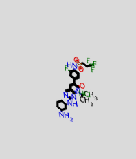 CC(C)n1c(=O)c(-c2ccc(NS(=O)(=O)CCC(F)(F)F)c(F)c2)cc2cnc(N[C@H]3CCC[C@H](N)C3)nc21.Cl